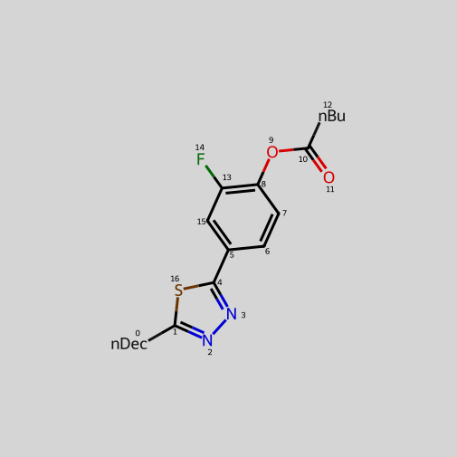 CCCCCCCCCCc1nnc(-c2ccc(OC(=O)CCCC)c(F)c2)s1